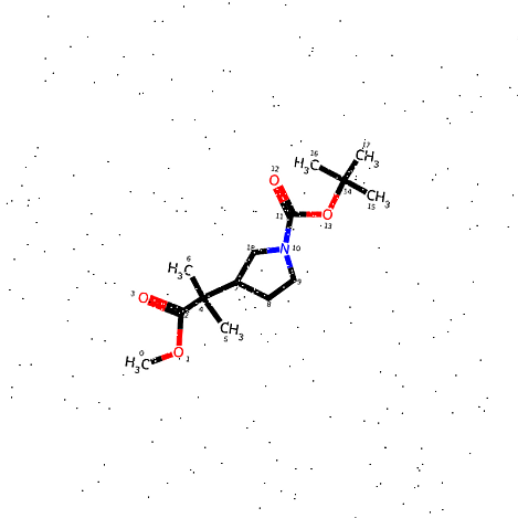 COC(=O)C(C)(C)C1CCN(C(=O)OC(C)(C)C)C1